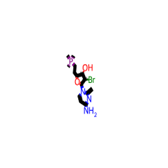 C=C1N=C(N)C=CN1C1OC(CCP(=C)(C)C)[C@@H](O)[C@H]1Br